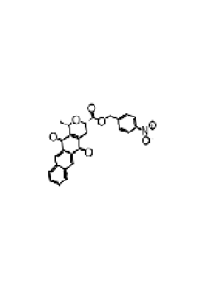 C[C@H]1O[C@H](C(=O)OCc2ccc([N+](=O)[O-])cc2)CC2=C1C(=O)c1cc3ccccc3cc1C2=O